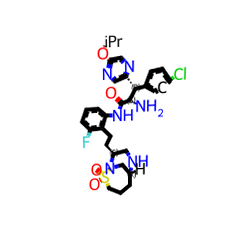 CC(C)Oc1cnc([C@H](c2ccc(Cl)cc2)[C@H](N)C(=O)Nc2cccc(F)c2CC[C@H]2CN[C@@H]3CCCS(=O)(=O)N2C3)cn1